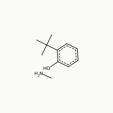 CC(C)(C)c1ccccc1O.CN